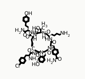 C[C@@H](O)[C@@H]1NC(=O)[C@H](CCCCN)NC(=O)[C@@H](Cc2ccc(C(N)=O)cc2)NC(=O)[C@H](Cc2ccc(O)cc2)NC(=O)[C@H](NC(=O)[C@@H](N)Cc2ccc(Cl)cc2)C/C=C/C[C@@H](C(=O)N[C@H](CCc2ccc(O)cc2)C(N)=O)NC1=O